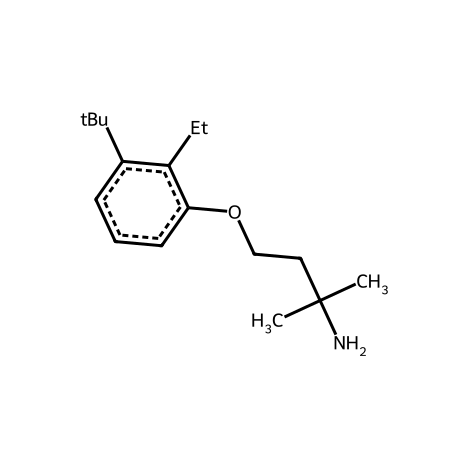 CCc1c(OCCC(C)(C)N)cccc1C(C)(C)C